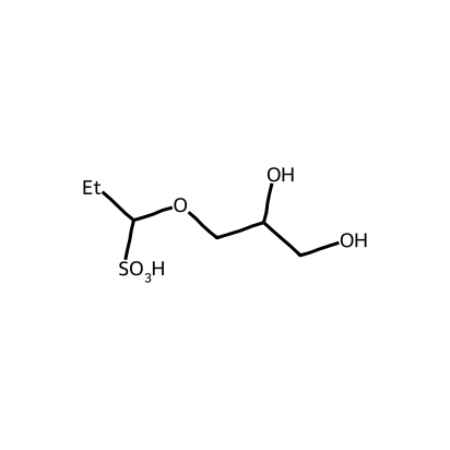 CCC(OCC(O)CO)S(=O)(=O)O